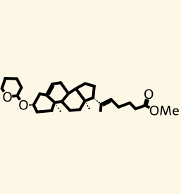 COC(=O)CCC/C=C(\C)[C@H]1CCC2C3CC=C4C[C@@H](OC5CCCCO5)CC[C@]4(C)C3CC[C@@]21C